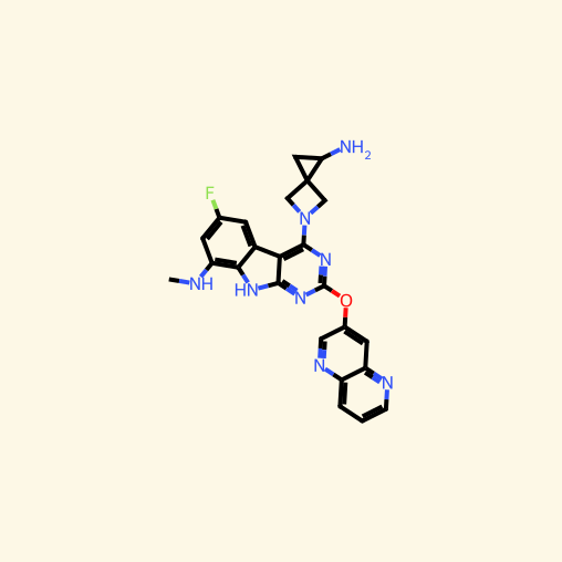 CNc1cc(F)cc2c1[nH]c1nc(Oc3cnc4cccnc4c3)nc(N3CC4(CC4N)C3)c12